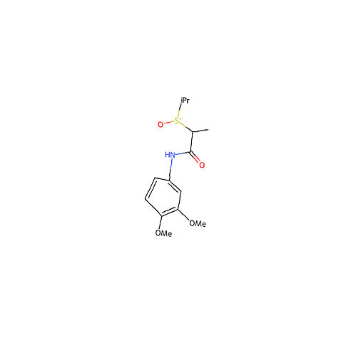 COc1ccc(NC(=O)C(C)[S+]([O-])C(C)C)cc1OC